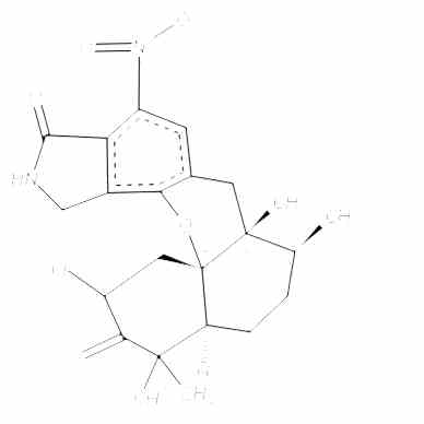 C[C@H]1CC[C@H]2C(C)(C)C(=O)C(Cl)C[C@]23Oc2c(cc([N+](=O)[O-])c4c2CNC4=O)C[C@]13C